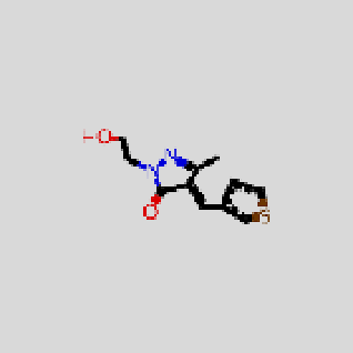 CC1=NN(CCO)C(=O)/C1=C/c1ccsc1